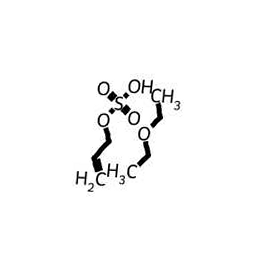 C=CCOS(=O)(=O)O.CCOCC